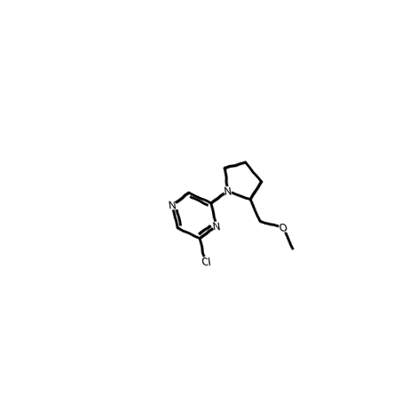 COCC1CCCN1c1cncc(Cl)n1